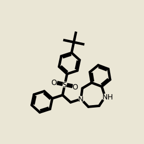 CC(C)(C)c1ccc(S(=O)(=O)C(CN2CCNc3ccccc3C2)c2ccccc2)cc1